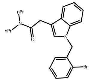 CCCN(CCC)C(=O)Cc1cn(Cc2ccccc2Br)c2ccccc12